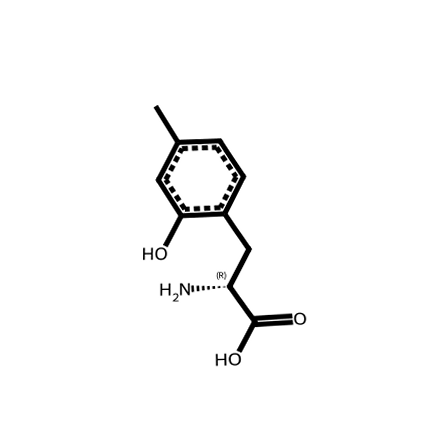 Cc1ccc(C[C@@H](N)C(=O)O)c(O)c1